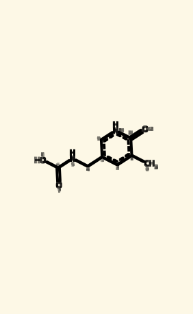 Cc1cc(CNC(=O)O)c[nH]c1=O